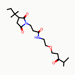 CCC(C)(C)C1CC(=O)N(CCC(=O)NCCOCCC(=O)C(C)C)C1=O